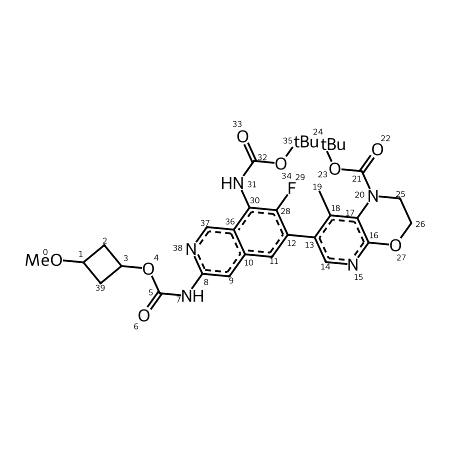 COC1CC(OC(=O)Nc2cc3cc(-c4cnc5c(c4C)N(C(=O)OC(C)(C)C)CCO5)c(F)c(NC(=O)OC(C)(C)C)c3cn2)C1